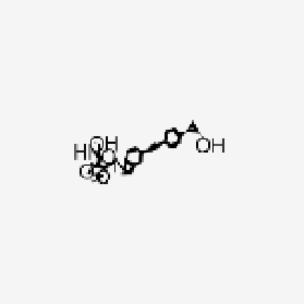 CC(CCn1ccc2cc(C#Cc3ccc([C@H]4C[C@@H]4CO)cc3)ccc21)(C(=O)NO)S(C)(=O)=O